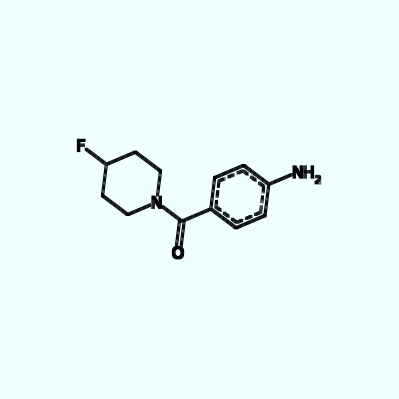 Nc1ccc(C(=O)N2CCC(F)CC2)cc1